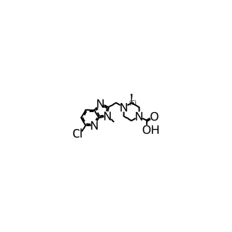 C[C@H]1CN(C(=O)O)CCN1Cc1nc2ccc(Cl)nc2n1C